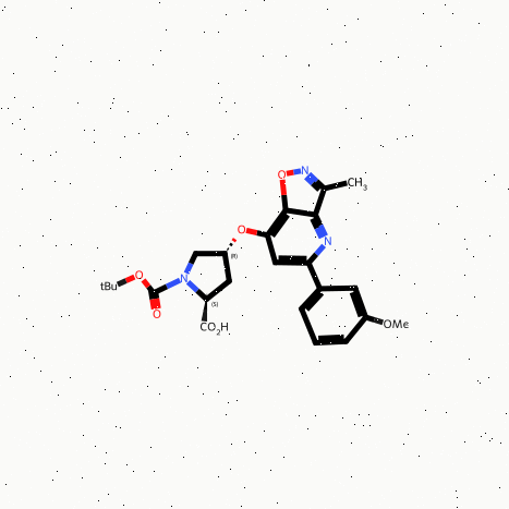 COc1cccc(-c2cc(O[C@@H]3C[C@@H](C(=O)O)N(C(=O)OC(C)(C)C)C3)c3onc(C)c3n2)c1